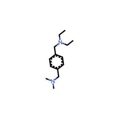 CCN(CC)Cc1ccc(CN(C)C)cc1